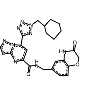 O=C1COc2ccc(CNC(=O)c3cc(-c4nnn(CC5CCCCC5)n4)n4nccc4n3)cc2N1